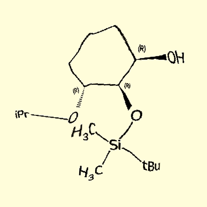 CC(C)O[C@@H]1CCC[C@@H](O)[C@H]1O[Si](C)(C)C(C)(C)C